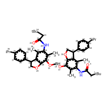 Cc1c(NC(=O)CC(C)(C)C)c(C)c2c(c1OBOc1c(C)c(NC(=O)CC(C)(C)C)c(C)c3c1OCC3c1ccc(C(C)C)cc1)OCC2c1ccc(C(C)C)cc1